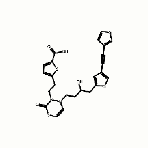 O=C(O)c1ccc(CCN2C(=O)SC=CN2CCC(O)Cc2cc(C#Cc3ccsc3)cs2)s1